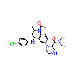 CCN(CC)C(=O)C1CNCCN1c1ccc2c(c1)C(Nc1ccc(Cl)cc1)CC(C)N2C(C)=O